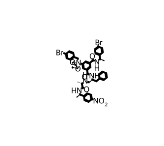 C[C@H](NC[C@H](Cc1ccccc1)NC(=O)c1cc(C(=O)N[C@H](C)c2ccc(Br)cc2)cc(N(Cc2ccc(Br)cc2)S(C)(=O)=O)c1)C(=O)N[C@H](C)c1ccc([N+](=O)[O-])cc1